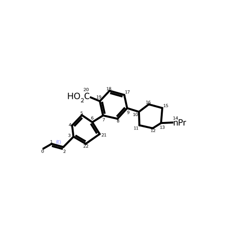 C/C=C/c1ccc(-c2cc(C3CCC(CCC)CC3)ccc2C(=O)O)cc1